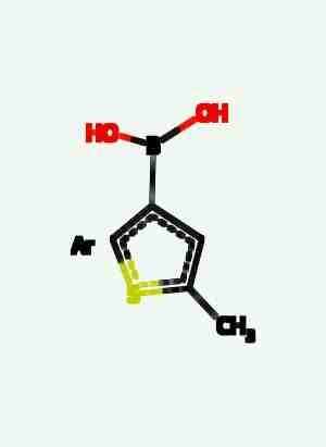 Cc1cc(B(O)O)cs1.[Ar]